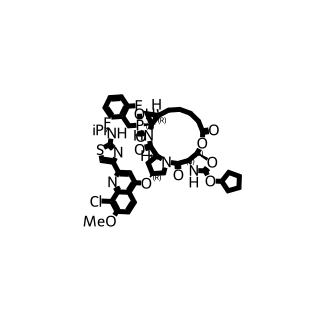 COc1ccc2c(O[C@@H]3C[C@H]4C(=O)N[C@]5(P(=O)(O)Cc6c(F)cccc6F)C[C@H]5CCCCC(=O)O[C@@H](C)[C@H](NC(=O)OC5CCCC5)C(=O)N4C3)cc(-c3csc(NC(C)C)n3)nc2c1Cl